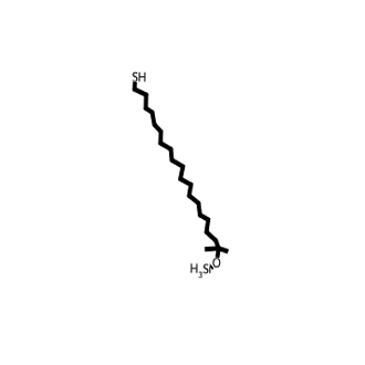 CC(C)(CCCCCCCCCCCCCCCCCCS)O[SiH3]